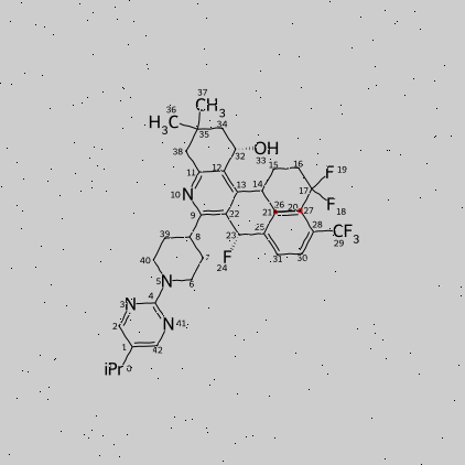 CC(C)c1cnc(N2CCC(c3nc4c(c(C5CCC(F)(F)CC5)c3[C@@H](F)c3ccc(C(F)(F)F)cc3)[C@@H](O)CC(C)(C)C4)CC2)nc1